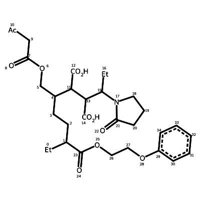 CCC(CCC(COC(=O)CC(C)=O)C(C(=O)O)C(C(=O)O)C(CC)N1CCCC1=O)C(=O)OCCOc1ccccc1